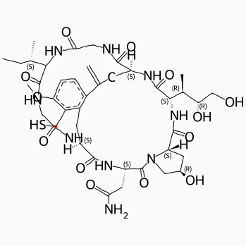 C=C1C[C@@H]2NC(=O)[C@H]([C@@H](C)[C@@H](O)CO)NC(=O)[C@@H]3C[C@@H](O)CN3C(=O)[C@H](CC(N)=O)NC(=O)[C@H](Cc3c1ccc(OC)c3CS)NC(=O)CNC(=O)C([C@@H](C)CC)NC(=O)CNC2=O